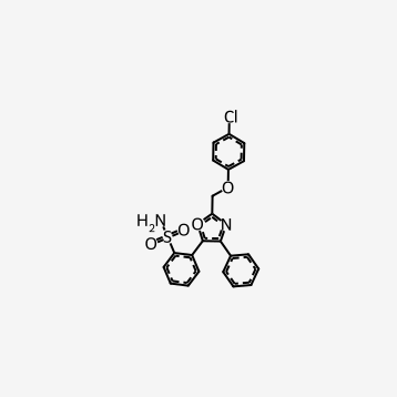 NS(=O)(=O)c1ccccc1-c1oc(COc2ccc(Cl)cc2)nc1-c1ccccc1